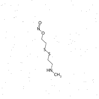 CNCCSSCCON=O